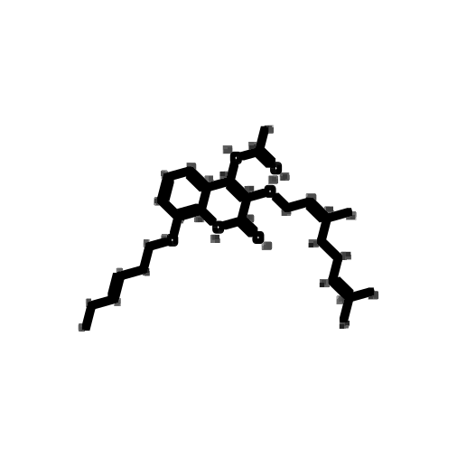 CCC=CCCOc1cccc2c(OC(C)=O)c(OCC=C(C)CCC=C(C)C)c(=O)oc12